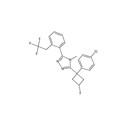 Cn1c(-c2ccccc2CC(F)(F)F)nnc1C1(c2ccc(Cl)cc2)CC(F)C1